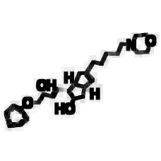 O[C@H](/C=C/[C@@H]1[C@H]2CC(CCCCCN3CCOCC3)=C[C@H]2C[C@H]1O)COc1ccccc1